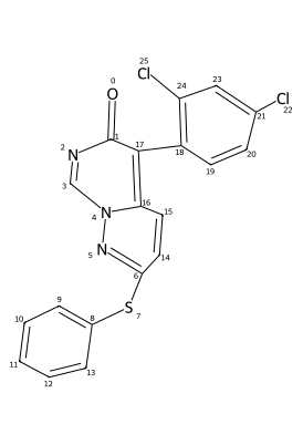 O=c1ncn2nc(Sc3ccccc3)ccc2c1-c1ccc(Cl)cc1Cl